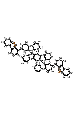 c1ccc([Si](c2ccccc2)(c2ccc([Si](c3ccccc3)(c3ccccc3)c3cccc(-c4cccc5c4sc4ccccc45)c3)cc2)c2cccc(-c3cccc4c3sc3ccccc34)c2)cc1